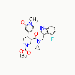 Cn1ccc([C@H]2CCN(C(=O)OC(C)(C)C)C[C@@H]2C(=O)N(Cc2c[nH]c3cccc(F)c23)C2CC2)cc1=O